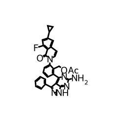 CC(=O)OCc1c(-c2nc(N)nc3[nH]nc(-c4ccccc4)c23)cccc1-n1ccc2cc(C3CC3)cc(F)c2c1=O